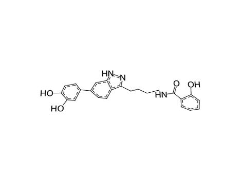 O=C(NCCCCc1n[nH]c2cc(-c3ccc(O)c(O)c3)ccc12)c1ccccc1O